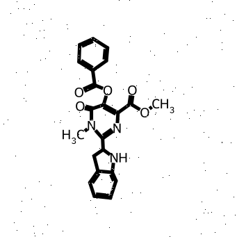 COC(=O)c1nc(C2Cc3ccccc3N2)n(C)c(=O)c1OC(=O)c1ccccc1